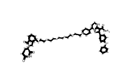 NC(=O)c1c(-c2ccc(Oc3ccccc3)cc2)nn2c1NCCC2C1CCN(CCOCCOCCOCCOCCSc2cccc3c2CN(C2CCC(=O)NC2=O)C3=O)CC1